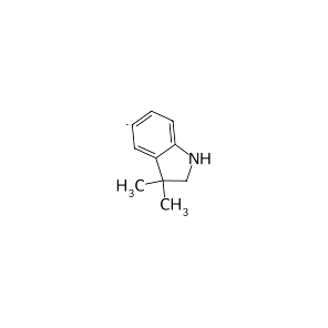 CC1(C)CNc2cc[c]cc21